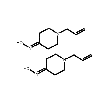 C=CCN1CCC(=NO)CC1.C=CCN1CCC(=NO)CC1